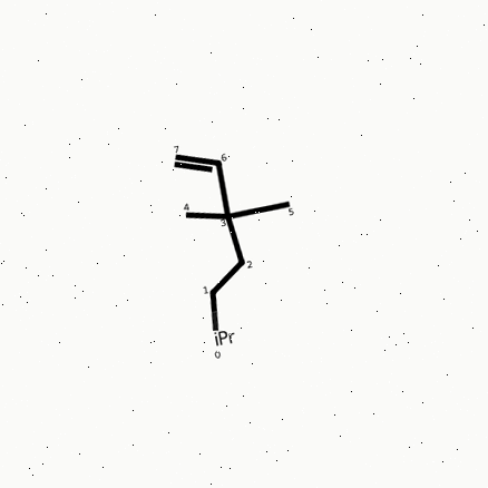 [CH2]C(C)CCC(C)(C)C=C